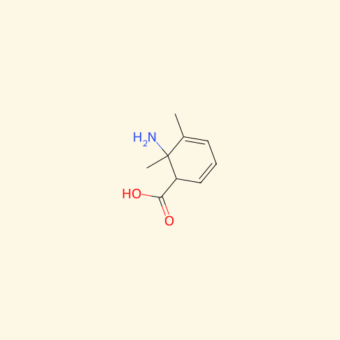 CC1=CC=CC(C(=O)O)C1(C)N